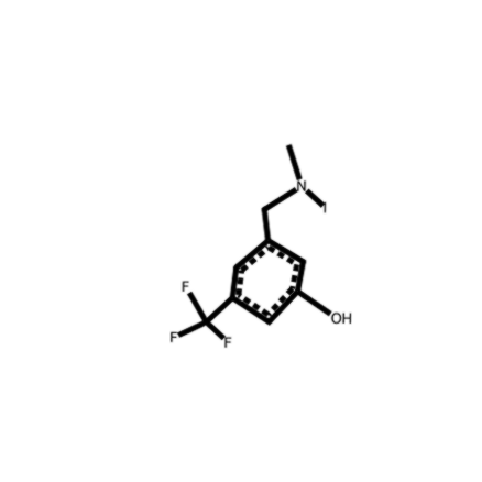 CN(I)Cc1cc(O)cc(C(F)(F)F)c1